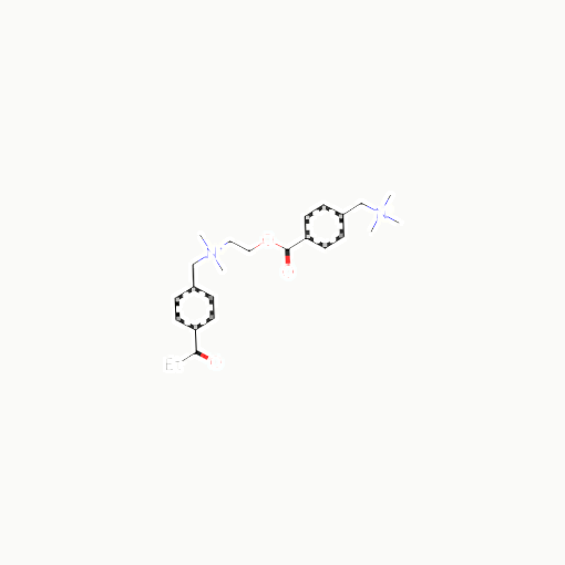 CCC(=O)c1ccc(C[N+](C)(C)CCOC(=O)c2ccc(C[N+](C)(C)C)cc2)cc1